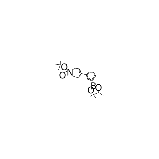 CC1OB(c2cccc(C3=CCN(C(=O)OC(C)(C)C)CC3)c2)OC1(C)C